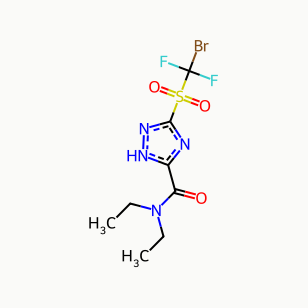 CCN(CC)C(=O)c1nc(S(=O)(=O)C(F)(F)Br)n[nH]1